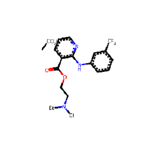 CC(=O)O.CCN(CC)CCOC(=O)c1cccnc1Nc1cccc(C(F)(F)F)c1